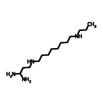 CCCNCCCCCCCCNCCC(N)N